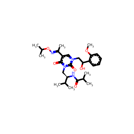 COc1ccccc1C(O)Cn1cc(/C(C)=N/OC(C)C)c(=O)n(C[C@@H](NC(=O)C(C)C)C(C)C)c1=O